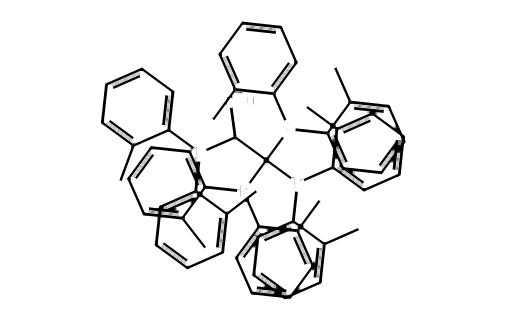 CCCCC(P(c1ccccc1C)c1ccccc1C)C(P(c1ccccc1C)c1ccccc1C)(P(c1ccccc1C)c1ccccc1C)P(c1ccccc1C)c1ccccc1C